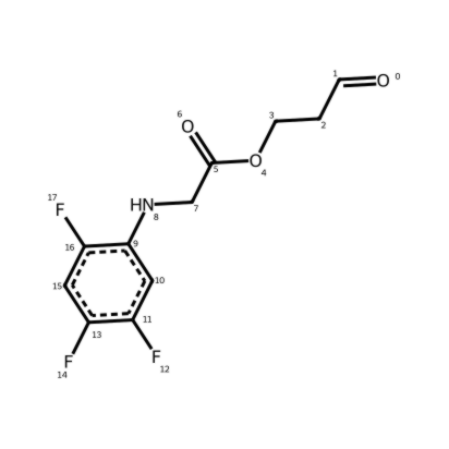 O=CCCOC(=O)CNc1cc(F)c(F)cc1F